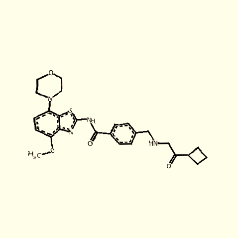 COc1ccc(N2CCOCC2)c2sc(NC(=O)c3ccc(CNCC(=O)C4CCC4)cc3)nc12